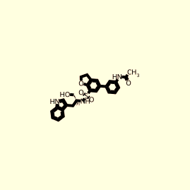 CC(=O)Nc1cccc(-c2cc3c(c(S(=O)(=O)N[C@@H](CO)Cc4c[nH]c5ccccc45)c2)OCC3)c1